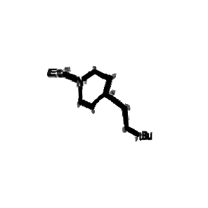 CCN1CCC(CCC(C)(C)C)CC1